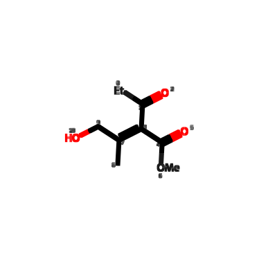 CCC(=O)C(C(=O)OC)=C(C)CO